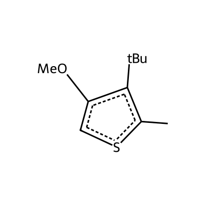 COc1csc(C)c1C(C)(C)C